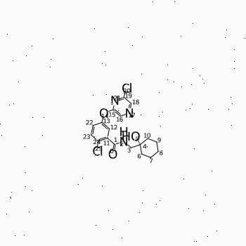 O=C(NCC1(O)CCCCC1)c1cc(Oc2cncc(Cl)n2)ccc1Cl